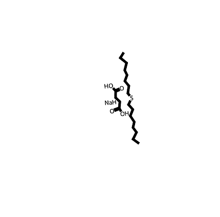 CCCCCCCCSCCCCCCCC.O=C(O)CCC(=O)O.[NaH]